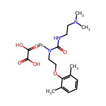 Cc1cccc(C)c1OCCN(C(=O)NCCN(C)C)C(C)C.O=C(O)C(=O)O